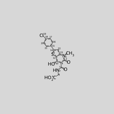 Cn1c(=O)c(C(=O)NCC(=O)O)c(O)c2sc(-c3ccc(Cl)cc3)cc21